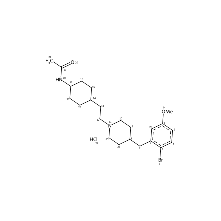 COc1ccc(Br)c(CC2CCN(CCC3CCC(NC(=O)C(F)(F)F)CC3)CC2)c1.Cl